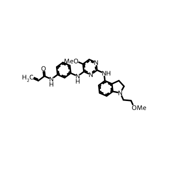 C=CC(=O)Nc1cccc(Nc2nc(Nc3cccc4c3CCN4CCOC)ncc2OC)c1